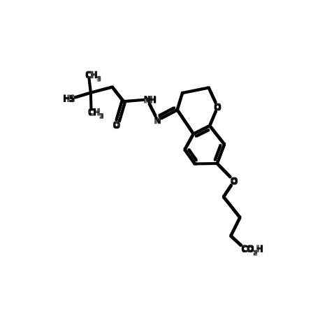 CC(C)(S)CC(=O)N/N=C1\CCOc2cc(OCCCC(=O)O)ccc21